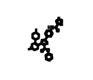 CC1CCC(C2=C(c3cc(-c4ccc(NC(=O)c5cscn5)cc4)sc3C(=O)Oc3ccccc3)CCN(C)C2)CC1